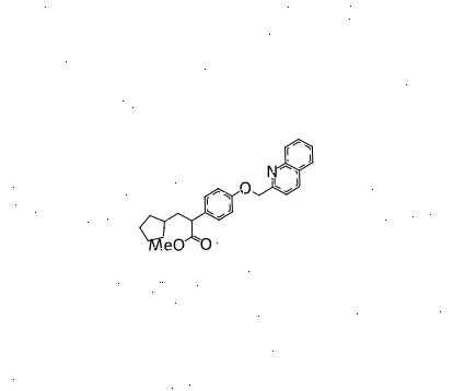 COC(=O)C(CC1CCCC1)c1ccc(OCc2ccc3ccccc3n2)cc1